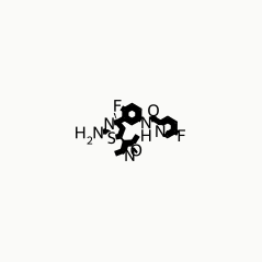 Cc1noc(C)c1[C@@H]1C[C@](C)(c2cc(NC(=O)c3ccc(F)cn3)ccc2F)N=C(N)S1